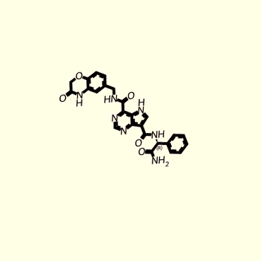 NC(=O)[C@H](NC(=O)c1c[nH]c2c(C(=O)NCc3ccc4c(c3)NC(=O)CO4)ncnc12)c1ccccc1